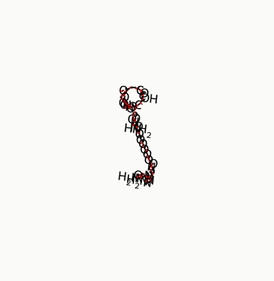 CO[C@H]1CC2CCCC(O2)C(=O)C(=O)N2CCCC[C@H]2C(=O)O[C@H](CC[C@H]2CC[C@H](OC(=O)N3CCC(N)(C(=O)NCCOCCOCCOCCOCCOCCOCCC(=O)N4CCc5cc(Cn6nc(-c7ccc8oc(N)nc8c7)c7c(N)ncnc76)ccc5C4)CC3)CC2)CC[C@H](C)/C=C(\C)[C@@H](O)CC(=O)[C@H](C)C[C@H](C)/C=C/C=C/C=C/1C